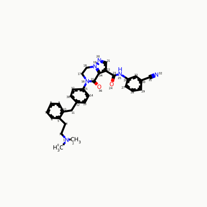 CN(C)CCc1ccccc1Cc1ccc(N2CCn3ncc(C(=O)Nc4cccc(C#N)c4)c3C2=O)cc1